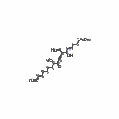 CCCCCCCCCCCCC/C=C/C(O)C(C#CC(=O)C(O)CCCCCCCCCCCCCCCC)CO